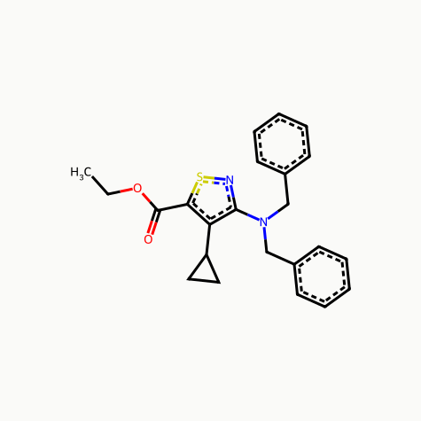 CCOC(=O)c1snc(N(Cc2ccccc2)Cc2ccccc2)c1C1CC1